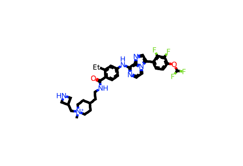 CCc1cc(Nc2nccn3c(-c4ccc(OC(F)F)c(F)c4F)cnc23)ccc1C(=O)NCCC1CC[N+](C)(CC2CNC2)CC1